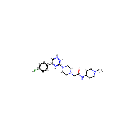 CN1CCC(NC(=O)CN2CCN(c3nncc(-c4ccc(F)cc4)n3)CC2)CC1